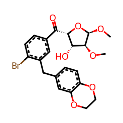 CO[C@@H]1O[C@@H](C(=O)c2ccc(Br)c(Cc3ccc4c(c3)OCCO4)c2)[C@@H](O)[C@@H]1OC